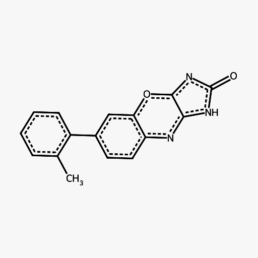 Cc1ccccc1-c1ccc2nc3[nH]c(=O)nc-3oc2c1